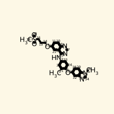 Cc1cc(Nc2ncnc3ccc(OCCCS(C)(=O)=O)cc23)ccc1Oc1ccc2c(c1)ncn2C